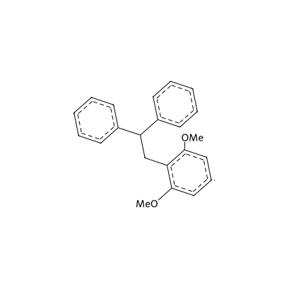 COc1c[c]cc(OC)c1CC(c1ccccc1)c1ccccc1